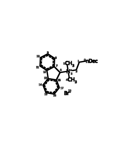 CCCCCCCCCCCC[N+](C)(C)C1c2ccccc2-c2ccccc21.[Br-]